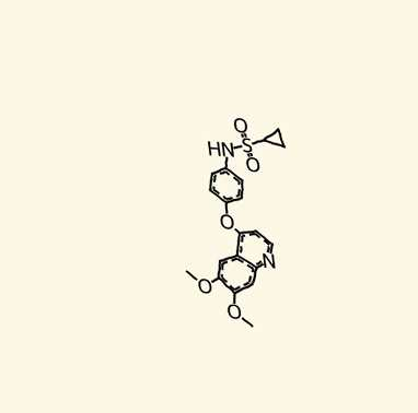 COc1cc2nccc(Oc3ccc(NS(=O)(=O)C4CC4)cc3)c2cc1OC